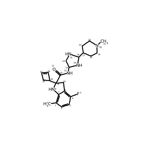 Cc1ccc(F)c2c1NC(C(=O)NC1CNC(C3CCN(C)CC3)N1)(C1C=CC1)C2